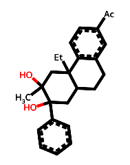 CCC12CC(C)(O)C(O)(c3ccccc3)CC1CCc1cc(C(C)=O)ccc12